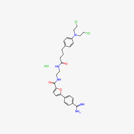 Cl.N=C(N)c1ccc(-c2ccc(C(=O)NCCNC(=O)CCCc3ccc(N(CCCl)CCCl)cc3)o2)cc1